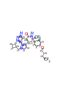 O=C1N[C@@](c2ccc(OCCCC(F)(F)F)cc2F)(C(F)(F)F)CC(c2ccn(CC3CCC3)n2)=C1c1nnn[nH]1